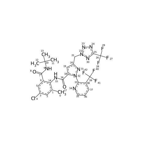 Cc1cc(Cl)cc(C(=O)NC(C)(C)C)c1NC(=O)c1cc(Cn2nnc(C(F)(F)F)n2)nn1-c1ncccc1C(F)(F)F